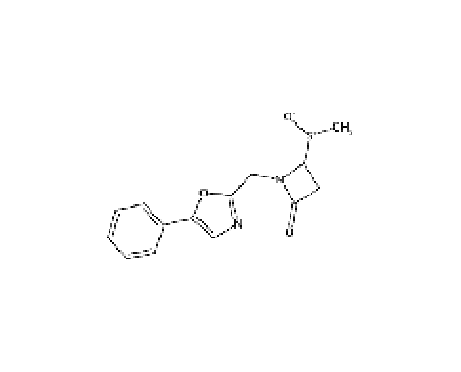 C[S+]([O-])C1CC(=O)N1Cc1ncc(-c2ccccc2)o1